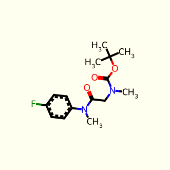 CN(CC(=O)N(C)c1ccc(F)cc1)C(=O)OC(C)(C)C